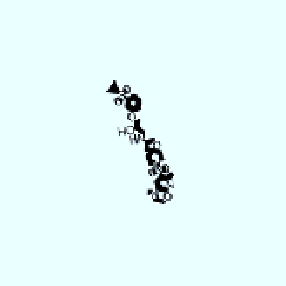 Cc1nc2c(cc1S(=O)(=O)N1CCC3(CC1)C[C@@H](NC[C@H](O)COc1cccc(S(=O)(=O)C4CC4)c1)CO3)N(C)CCO2